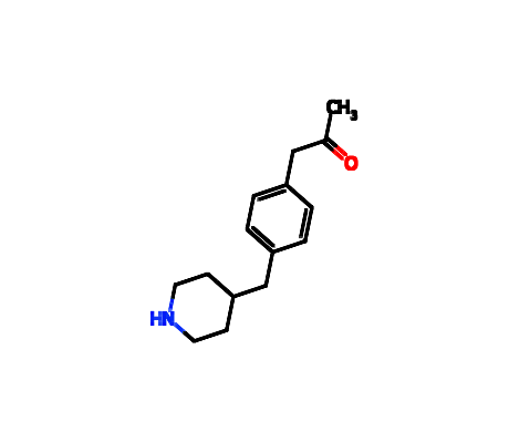 CC(=O)Cc1ccc(CC2CCNCC2)cc1